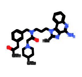 CCCCc1nc2c(N)nc3ccccc3c2n1CCCN(Cc1cccc(CC(=O)OC)c1)C(=O)CN1CCC(OC)CC1